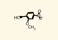 C#Cc1ccc([N+](=O)[O-])cc1OC